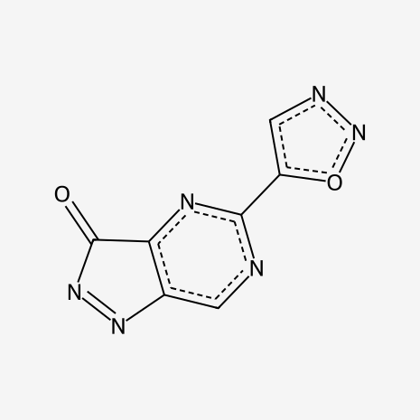 O=C1N=Nc2cnc(-c3cnno3)nc21